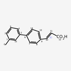 Cc1cccc(-c2ccc(/C=C/C(=O)O)cc2)c1